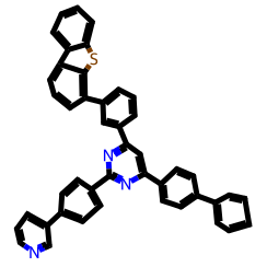 c1ccc(-c2ccc(-c3cc(-c4cccc(-c5cccc6c5sc5ccccc56)c4)nc(-c4ccc(-c5cccnc5)cc4)n3)cc2)cc1